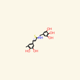 Cc1cc(/C=C/C(=S)NCc2cc(O)c(O)c(O)c2)cc(O)c1O